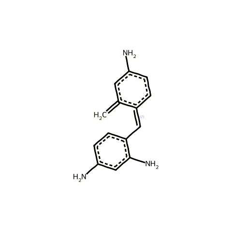 C=c1cc(N)cc/c1=C/c1ccc(N)cc1N